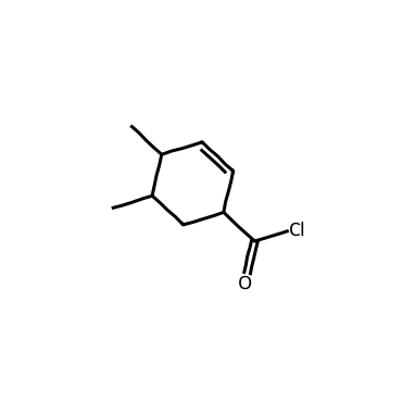 CC1C=CC(C(=O)Cl)CC1C